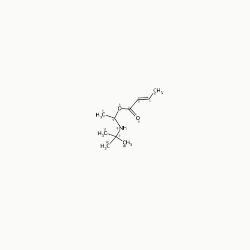 CC=CC(=O)OC(C)NC(C)(C)C